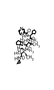 CCC[C@H](NC(=O)[C@@H]1[C@H]2CCC[C@H]2CN1C(=O)[C@@H](NC(=O)[C@@H](NC(=O)c1cnccn1)C1CCCC1)C(C)(C)C)C(O)C(=O)NC1CC1